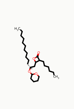 CCCCCCCCCCC[C@H](CC1OC(=O)C1CCCCCC)OC1CCCCO1